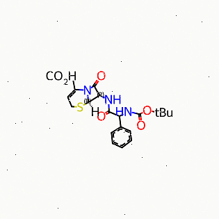 CC(C)(C)OC(=O)NC(C(=O)N[C@@H]1C(=O)N2C(C(=O)O)=CCS[C@H]12)c1ccccc1